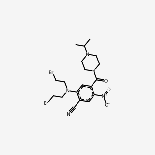 CC(C)N1CCN(C(=O)c2cc(N(CCBr)CCBr)c(C#N)cc2[N+](=O)[O-])CC1